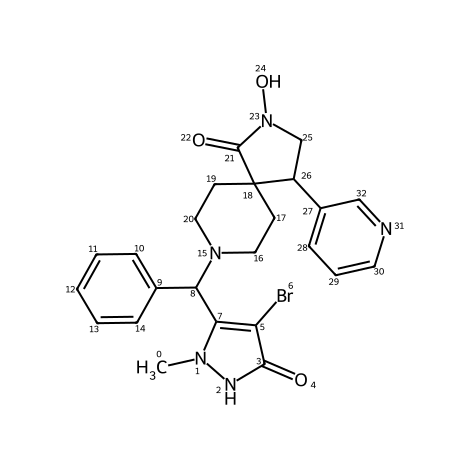 Cn1[nH]c(=O)c(Br)c1C(c1ccccc1)N1CCC2(CC1)C(=O)N(O)CC2c1cccnc1